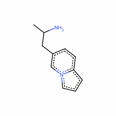 CC(N)Cc1ccc2cccn2c1